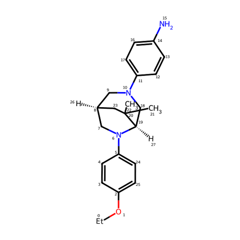 CCOc1ccc(N2C[C@H]3CN(c4ccc(N)cc4)C[C@@H]2C(C)(C)C3)cc1